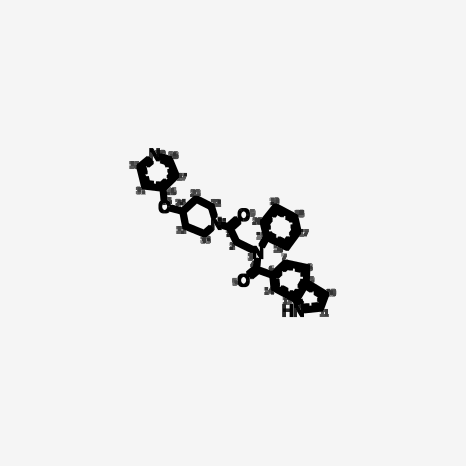 O=C(CN(C(=O)c1ccc2cc[nH]c2c1)c1ccccc1)N1CCC(Oc2ccncc2)CC1